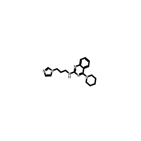 c1ccc2c(N3CCCCC3)nc(NCCCn3ccnc3)nc2c1